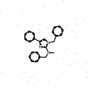 CN(Cc1ccccc1)c1nc(-c2ccccc2)cn1Cc1ccccc1